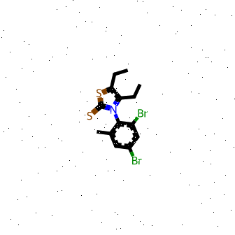 CCc1sc(=S)n(-c2c(C)cc(Br)cc2Br)c1CC